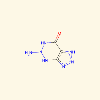 NN1NC(=O)c2[nH]nnc2N1